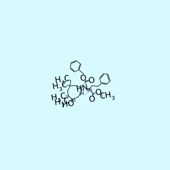 CCC1(C)CC[C@H](C[C@@](CCc2ccccc2)(NC(=O)OCc2ccccc2)C(=O)OC)C[C@@H](O)C(C)(C)C1